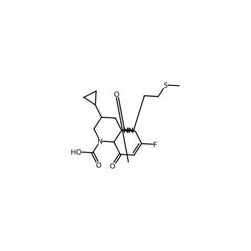 CSCCC1NC2C(F)=CC(=O)C3N(C(=O)O)CC(C4CC4)CC23NC1=O